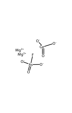 O=[As]([O-])([O-])F.[Mg+2].[Mg+2].[O]=[Ge]([O-])[O-]